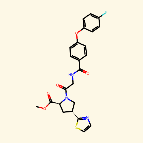 COC(=O)[C@@H]1C[C@@H](c2nccs2)CN1C(=O)CNC(=O)c1ccc(Oc2ccc(F)cc2)cc1